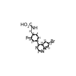 O=C(O)NCc1ccc(-c2ncnn3cc(Br)cc23)cc1F